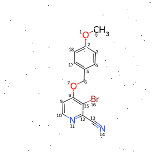 COc1ccc(COc2ccnc(C#N)c2Br)cc1